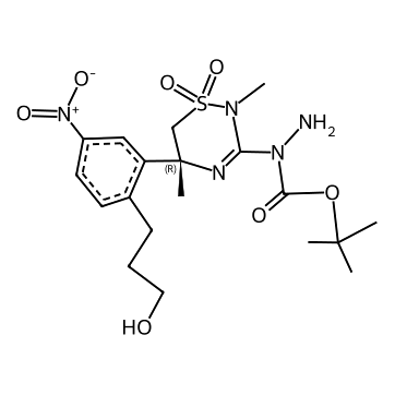 CN1C(N(N)C(=O)OC(C)(C)C)=N[C@](C)(c2cc([N+](=O)[O-])ccc2CCCO)CS1(=O)=O